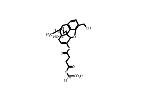 CC[C@H](OC(=O)CCC(=O)OC1=CC[C@@]2(O)[C@H]3Cc4ccc(CO)c5c4C2(CCN3C)C1O5)C(=O)O